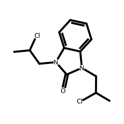 CC(Cl)Cn1c(=O)n(CC(C)Cl)c2ccccc21